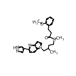 COc1ccccc1CCC(=O)N(C)CCC(C)Cn1ccc2nc(-c3cn[nH]c3)ccc21